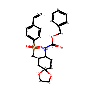 C=Cc1ccc(S(=O)(=O)C[C@@H]2CC3(CC[C@@H]2NC(=O)OCc2ccccc2)OCCO3)cc1